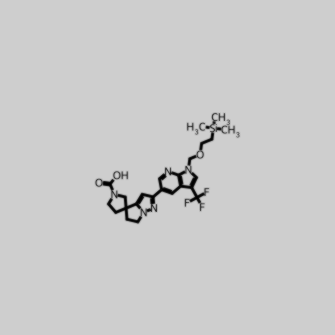 C[Si](C)(C)CCOCn1cc(C(F)(F)F)c2cc(-c3cc4n(n3)CCC43CCN(C(=O)O)C3)cnc21